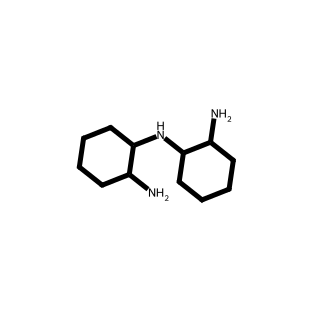 NC1CC[CH]CC1NC1CCCCC1N